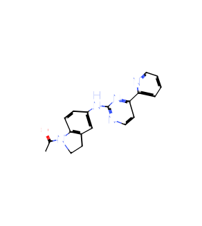 CC(=O)N1CCc2cc(Nc3nccc(-c4ccccn4)n3)ccc21